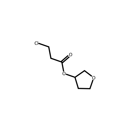 O=C(CCCl)OC1CCOC1